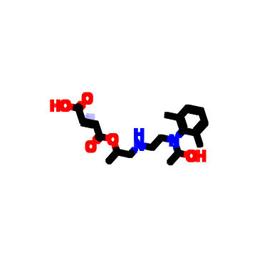 Cc1cccc(C)c1N(CCNCC(C)OC(=O)/C=C/C(=O)O)C(C)O